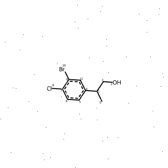 C[C](CO)c1ccc(Cl)c(Br)c1